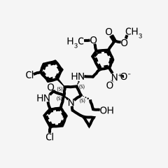 COC(=O)c1cc([N+](=O)[O-])c(CN[C@@H]2[C@H](CCO)N(CC3CC3)[C@@]3(C(=O)Nc4cc(Cl)ccc43)[C@H]2c2cccc(Cl)c2)cc1OC